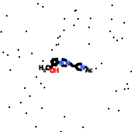 CC(=O)CN1CCC(CCN2CCN(c3cccc(C(C)O)c3)CC2)CC1